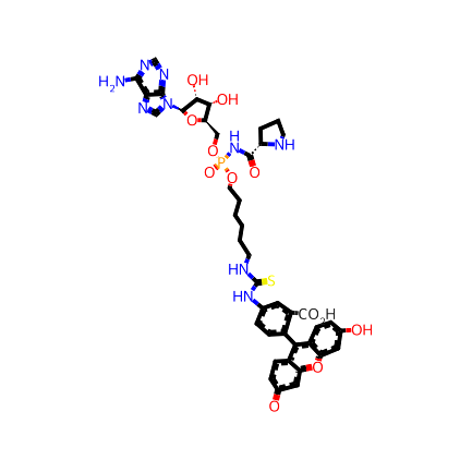 Nc1ncnc2c1ncn2[C@@H]1O[C@H](COP(=O)(NC(=O)[C@@H]2CCCN2)OCCCCCCNC(=S)Nc2ccc(-c3c4ccc(=O)cc-4oc4cc(O)ccc34)c(C(=O)O)c2)[C@@H](O)[C@H]1O